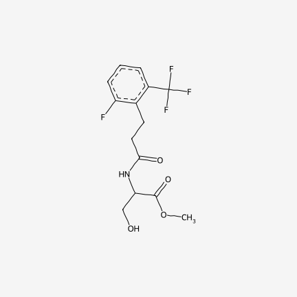 COC(=O)C(CO)NC(=O)CCc1c(F)cccc1C(F)(F)F